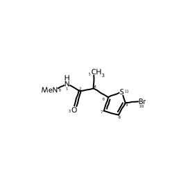 CNNC(=O)C(C)c1ccc(Br)s1